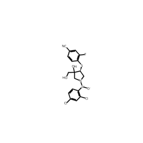 N#Cc1ccc(S[C@H]2CN([S+]([O-])c3ccc(Cl)cc3Cl)CC2(O)CO)c(F)c1